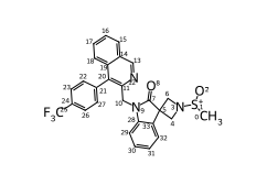 C[S+]([O-])N1CC2(C1)C(=O)N(Cc1ncc3ccccc3c1-c1ccc(C(F)(F)F)cc1)c1ccccc12